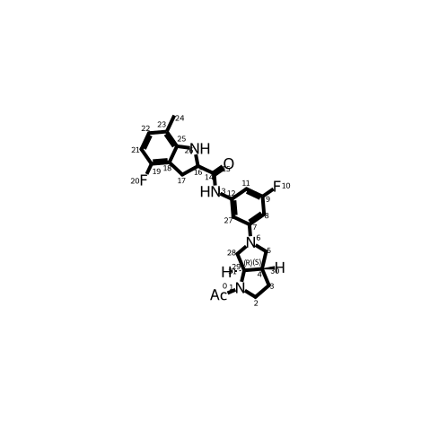 CC(=O)N1CC[C@H]2CN(c3cc(F)cc(NC(=O)C4Cc5c(F)ccc(C)c5N4)c3)C[C@@H]21